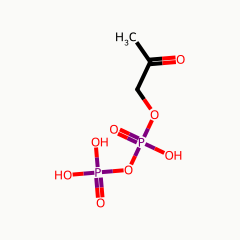 CC(=O)COP(=O)(O)OP(=O)(O)O